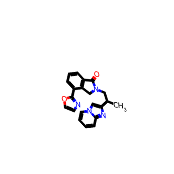 CC(CN1Cc2c(cccc2-c2ncco2)C1=O)c1cn2ccccc2n1